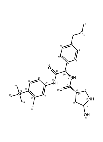 COCc1ccc([C@@H](NC(=O)[C@H]2CNC(O)C2)C(=O)Nc2ccc([Si](C)(C)C)c(F)c2)cc1